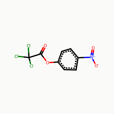 O=C(Oc1ccc([N+](=O)[O-])cc1)C(Cl)(Cl)Cl